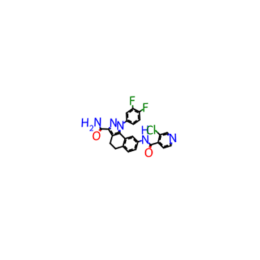 NC(=O)c1nn(-c2ccc(F)c(F)c2)c2c1CCc1ccc(NC(=O)c3ccncc3Cl)cc1-2